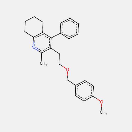 COc1ccc(COCCc2c(C)nc3c(c2-c2ccccc2)CCCC3)cc1